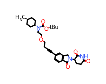 CC(C)(C)OC(=O)N(CCOCCC#Cc1ccc2c(c1)CN(C1CCC(=O)NC1=O)C2=O)[C@H]1CC[C@H](C)CC1